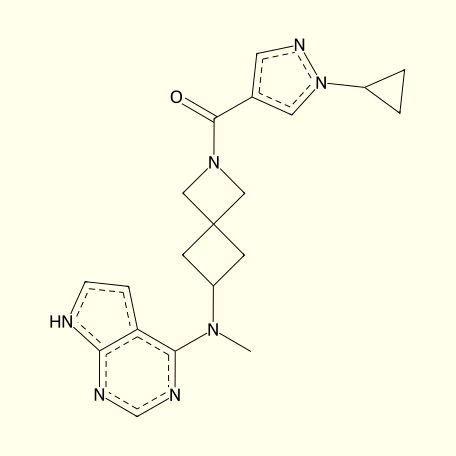 CN(c1ncnc2[nH]ccc12)C1CC2(C1)CN(C(=O)c1cnn(C3CC3)c1)C2